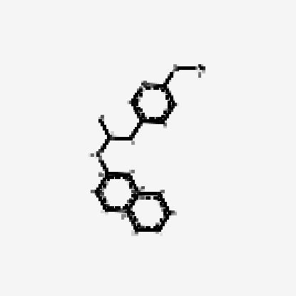 CC(C)Sc1ccc(CC(C)Sc2ccc3ccccc3c2)cn1